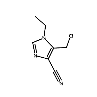 CCn1cnc(C#N)c1CCl